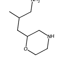 CC(CN)CC1CNCCO1